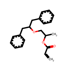 C=CC(=O)OC(C)COC(Cc1ccccc1)Cc1ccccc1